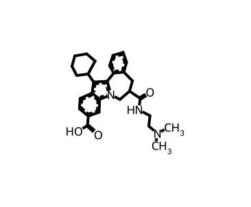 CN(C)CCNC(=O)C1Cc2ccccc2-c2c(C3CCCCC3)c3ccc(C(=O)O)cc3n2C1